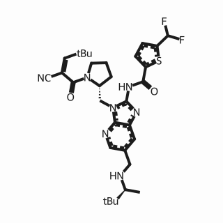 C[C@H](NCc1cnc2c(c1)nc(NC(=O)c1ccc(C(F)F)s1)n2C[C@H]1CCCN1C(=O)C(C#N)=CC(C)(C)C)C(C)(C)C